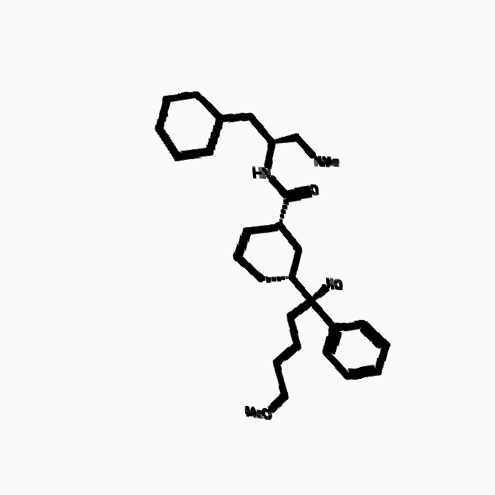 CNC[C@H](CC1CCCCC1)NC(=O)[C@H]1CCC[C@@H]([C@](CCCCOC)(N=O)c2ccccc2)C1